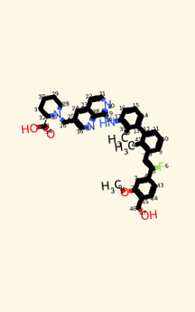 COc1cc(/C(F)=C/c2cccc(-c3cccc(Nc4nccc5cc(CN6CCCC[C@H]6C(=O)O)cnc45)c3C)c2C)ccc1CO